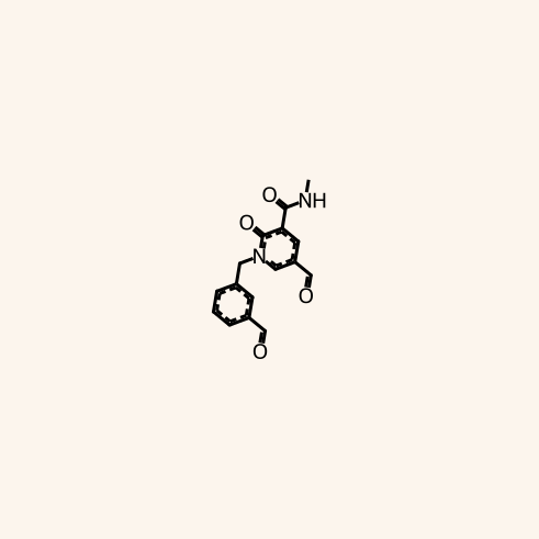 CNC(=O)c1cc(C=O)cn(Cc2cccc(C=O)c2)c1=O